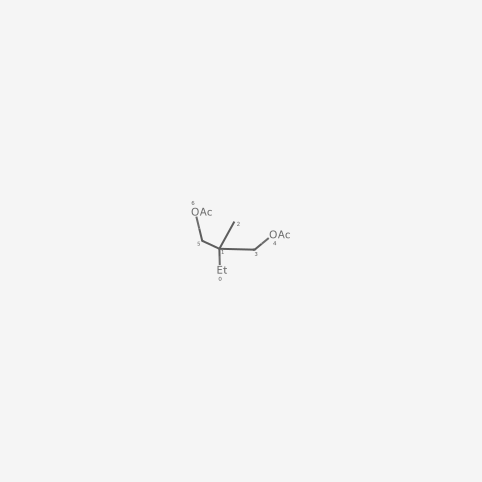 CCC(C)(COC(C)=O)COC(C)=O